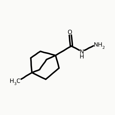 CC12CCC(C(=O)NN)(CC1)CC2